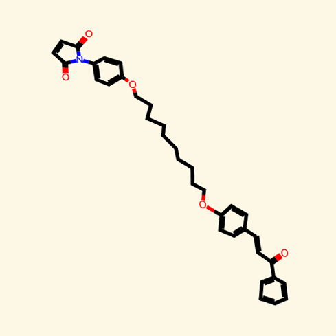 O=C(C=Cc1ccc(OCCCCCCCCCCOc2ccc(N3C(=O)C=CC3=O)cc2)cc1)c1ccccc1